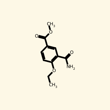 CCOc1ccc(C(=O)OC)cc1C(N)=O